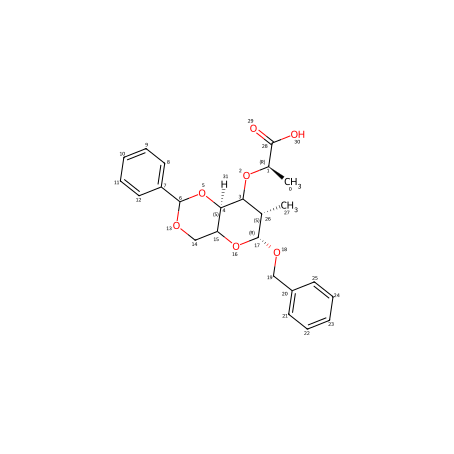 C[C@@H](OC1[C@@H]2OC(c3ccccc3)OCC2O[C@@H](OCc2ccccc2)[C@H]1C)C(=O)O